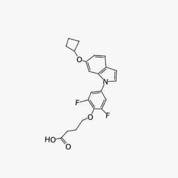 O=C(O)CCCOc1c(F)cc(-n2ccc3ccc(OC4CCC4)cc32)cc1F